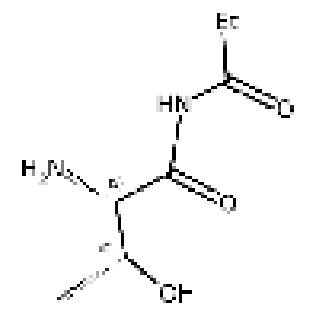 CCC(=O)NC(=O)[C@@H](N)[C@@H](C)O